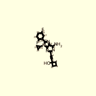 Nc1nc(C#CC2(O)CCC2)nc2c1nc(-c1cc(F)ccc1F)n2C1CC1